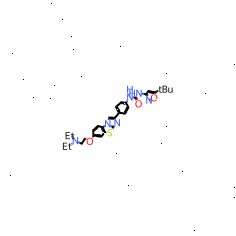 CCN(CC)CCOc1ccc2c(c1)sc1nc(-c3ccc(NC(=O)Nc4cc(C(C)(C)C)on4)cc3)cn12